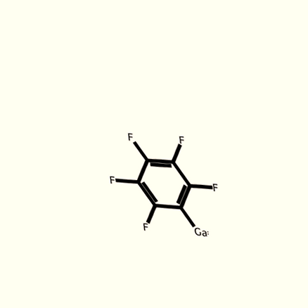 Fc1c(F)c(F)[c]([Ga])c(F)c1F